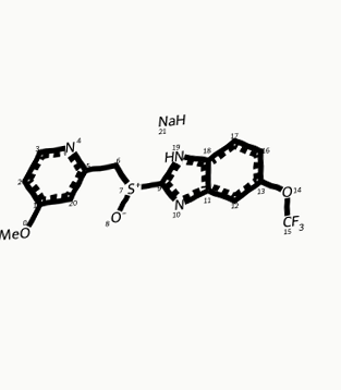 COc1ccnc(C[S+]([O-])c2nc3cc(OC(F)(F)F)ccc3[nH]2)c1.[NaH]